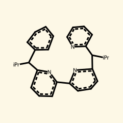 CC(C)C(c1ccccc1)c1cccc(-c2cccc(C(c3ccccn3)C(C)C)n2)n1